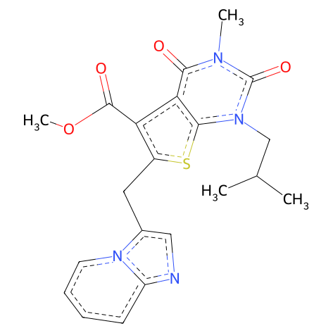 COC(=O)c1c(Cc2cnc3ccccn23)sc2c1c(=O)n(C)c(=O)n2CC(C)C